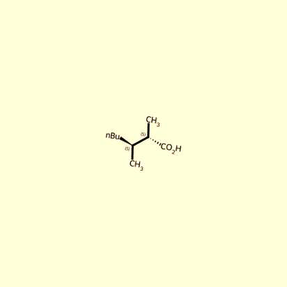 CCCC[C@H](C)[C@H](C)C(=O)O